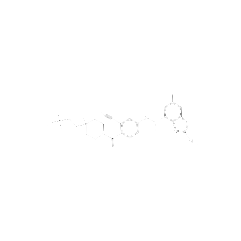 CC(F)(F)CCC1(O)CCN(C(=O)c2ccc(N[S+]([O-])c3cc(F)cc4sc(N)nc34)cc2C#N)CC1